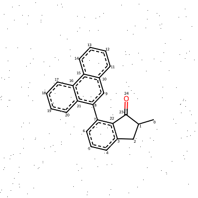 CC1Cc2cccc(-c3cc4ccccc4c4ccccc34)c2C1=O